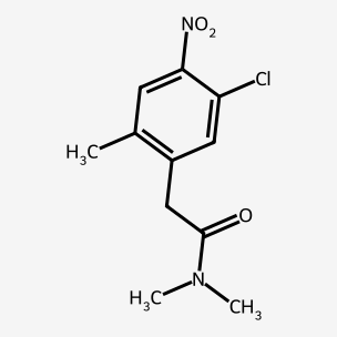 Cc1cc([N+](=O)[O-])c(Cl)cc1CC(=O)N(C)C